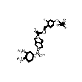 NC1=C(N)C[C@H](N(O)N2CC3CN(C(=O)OCc4ccc(OC(F)(F)F)cc4F)CC3C2)CC1